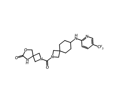 O=C1NC2(CO1)CN(C(=O)N1CC3(CCC(Nc4ccc(C(F)(F)F)cn4)CC3)C1)C2